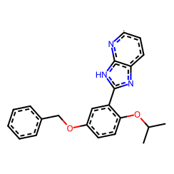 CC(C)Oc1ccc(OCc2ccccc2)cc1-c1nc2cc[c]nc2[nH]1